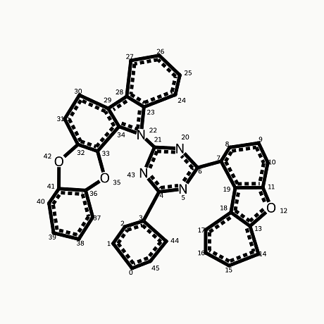 c1ccc(-c2nc(-c3cccc4oc5ccccc5c34)nc(-n3c4ccccc4c4ccc5c(c43)Oc3ccccc3O5)n2)cc1